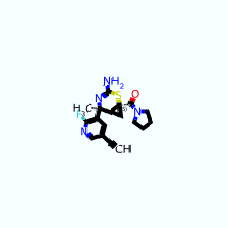 C#Cc1cnc(F)c([C@@]2(C)N=C(N)S[C@@]3(C(=O)N4CCCC4)CC32)c1